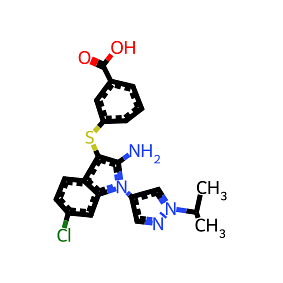 CC(C)n1cc(-n2c(N)c(Sc3cccc(C(=O)O)c3)c3ccc(Cl)cc32)cn1